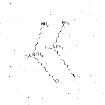 CCCCCCCCCCCC[N+](C)(C)CCCCCCCCCCN.CCCCCCCCCCCC[N+](C)(C)CCCCCCCCN